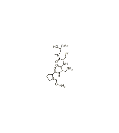 COC(O)CN(C)C(=O)C(CC(C)C)NC(=O)C(CN)NC(=O)C1CCCN1CON